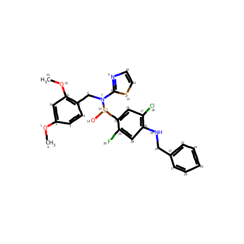 COc1ccc(CN(c2nccs2)[S+]([O-])c2cc(Cl)c(NCc3ccccc3)cc2F)c(OC)c1